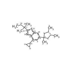 CCCC(C)(CCC)c1cc(C2CC2)c2nc(C(C)(C)CC)sc2c1